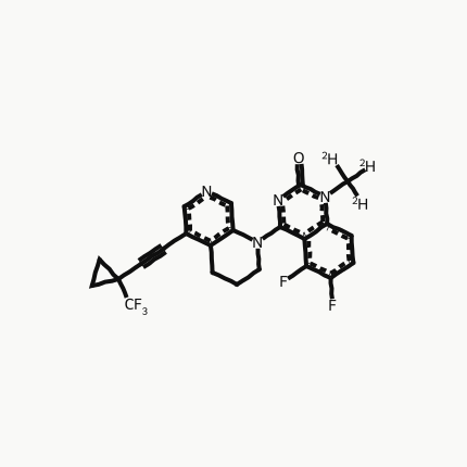 [2H]C([2H])([2H])n1c(=O)nc(N2CCCc3c(C#CC4(C(F)(F)F)CC4)cncc32)c2c(F)c(F)ccc21